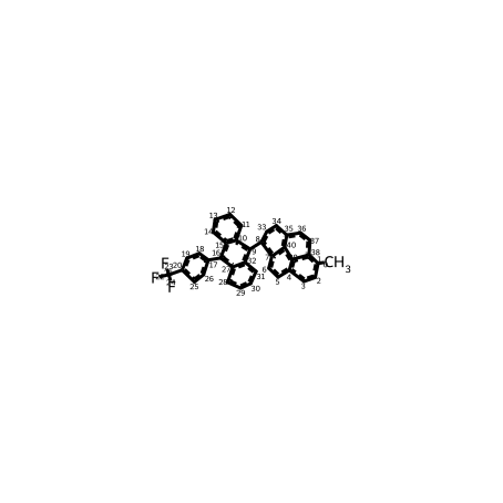 Cc1ccc2ccc3c(-c4c5ccccc5c(-c5ccc(C(F)(F)F)cc5)c5ccccc45)ccc4ccc1c2c43